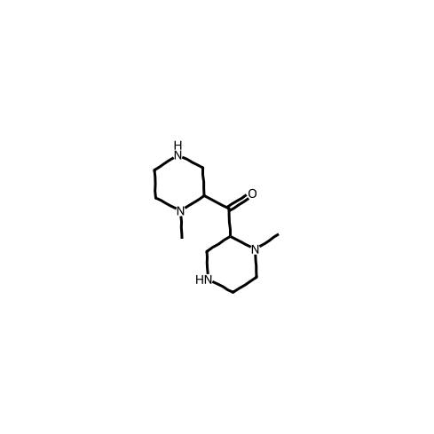 CN1CCNCC1C(=O)C1CNCCN1C